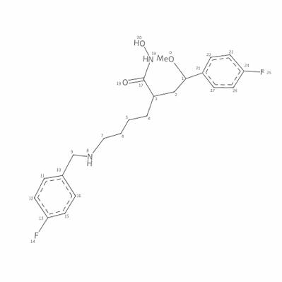 COC(CC(CCCCNCc1ccc(F)cc1)C(=O)NO)c1ccc(F)cc1